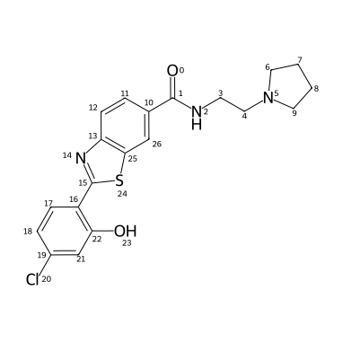 O=C(NCCN1CCCC1)c1ccc2nc(-c3ccc(Cl)cc3O)sc2c1